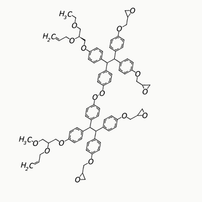 C=CCOC(COC)COc1ccc(C(c2ccc(OOc3ccc(C(c4ccc(OC[C@H](COCC)OCC=C)cc4)C(c4ccc(OCC5CO5)cc4)c4ccc(OCC5CO5)cc4)cc3)cc2)C(c2ccc(OCC3CO3)cc2)c2ccc(OCC3CO3)cc2)cc1